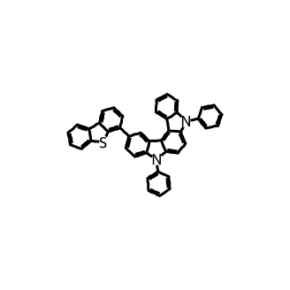 c1ccc(-n2c3ccccc3c3c4c5cc(-c6cccc7c6sc6ccccc67)ccc5n(-c5ccccc5)c4ccc32)cc1